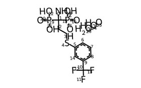 NC(CCSc1cccc(C(F)(F)F)c1)(P(=O)(O)O)P(=O)(O)O.O.O.O